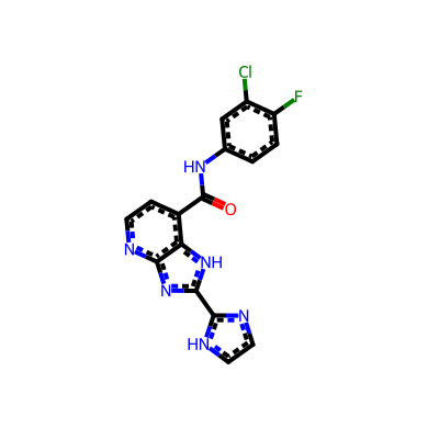 O=C(Nc1ccc(F)c(Cl)c1)c1ccnc2nc(-c3ncc[nH]3)[nH]c12